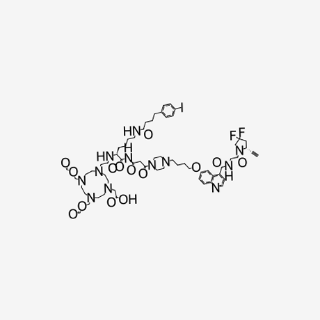 C#C[C@H]1CC(F)(F)CN1C(=O)CNC(=O)c1ccnc2ccc(OCCCCN3CCN(C(=O)CC(=O)NC(=O)[C@H](CCCCNC(=O)CCCc4ccc(I)cc4)NC(=O)CN4CCN(COC=O)CCN(COC=O)CCN(CC(=O)O)CC4)CC3)cc12